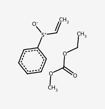 C=C[S+]([O-])c1ccccc1.CCOC(=O)OC